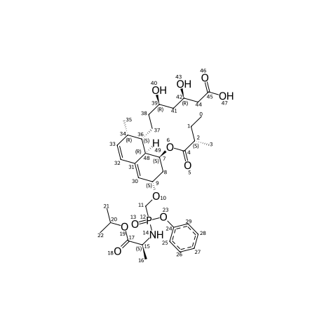 CC[C@H](C)C(=O)O[C@H]1C[C@H](OCP(=O)(N[C@@H](C)C(=O)OC(C)C)Oc2ccccc2)C=C2C=C[C@H](C)[C@H](CC[C@@H](O)C[C@@H](O)CC(=O)O)[C@H]21